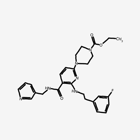 CCOC(=O)N1CCN(c2ccc(C(=O)NCc3cccnc3)c(NCCc3cccc(F)c3)n2)CC1